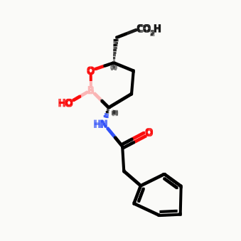 O=C(O)C[C@@H]1CC[C@H](NC(=O)Cc2ccccc2)B(O)O1